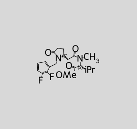 COC(=O)[C@H](C(C)C)N(C)C(=O)C[C@@H]1CCC(=O)N1Cc1cccc(F)c1F